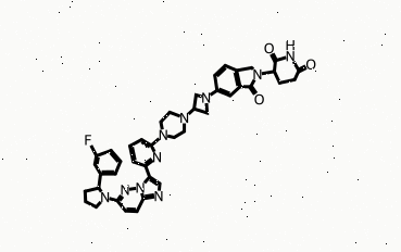 O=C1CCC(N2Cc3ccc(N4CC(N5CCN(c6cccc(-c7cnc8ccc(N9CCCC9c9cccc(F)c9)nn78)n6)CC5)C4)cc3C2=O)C(=O)N1